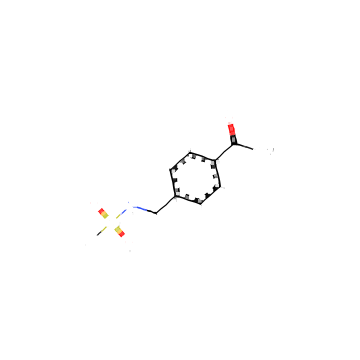 COC(=O)c1ccc(CNS(=O)(=O)C(F)(F)F)cc1